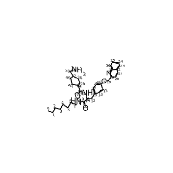 CCCCCCCCNC(=O)[C@H](Cc1ccc(OCc2ccc3ccccc3n2)cc1)NC(=O)C1CCC(CN)CC1